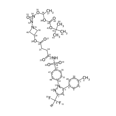 Cc1ccc(-c2cc(C(F)(F)F)nn2-c2ccc(S(=O)(=O)NC(=O)CCC(=O)OC3CN(n4on4OC(C)OC(=O)OC(C)(C)C)C3)cc2)cc1